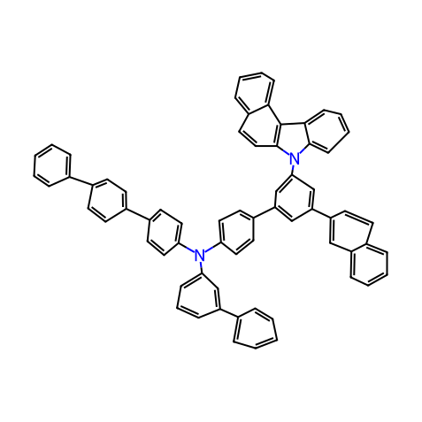 c1ccc(-c2ccc(-c3ccc(N(c4ccc(-c5cc(-c6ccc7ccccc7c6)cc(-n6c7ccccc7c7c8ccccc8ccc76)c5)cc4)c4cccc(-c5ccccc5)c4)cc3)cc2)cc1